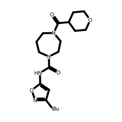 CCC(C)c1cc(NC(=O)N2CCCN(C(=O)C3CCOCC3)CC2)on1